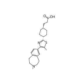 Cc1sc([C@H]2CC[C@H](CCC(=O)O)CC2)nc1-c1ccc2c(c1)CCN(C)CC2